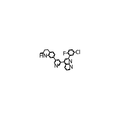 C=C1CCc2ccc(-c3cncc(-c4cc(-c5cc(Cl)ccc5F)nc5ncccc45)c3)cc2N1